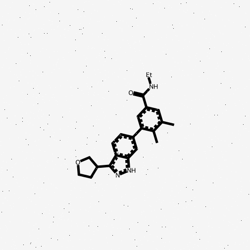 CCNC(=O)c1cc(C)c(C)c(-c2ccc3c(C4CCOC4)n[nH]c3c2)c1